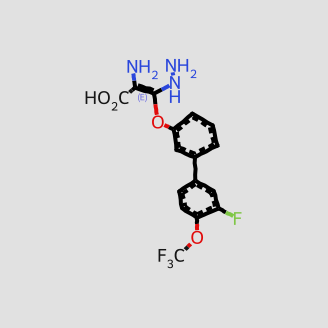 NN/C(Oc1cccc(-c2ccc(OC(F)(F)F)c(F)c2)c1)=C(\N)C(=O)O